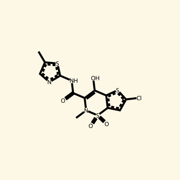 Cc1cnc(NC(=O)C2=C(O)c3sc(Cl)cc3S(=O)(=O)N2C)s1